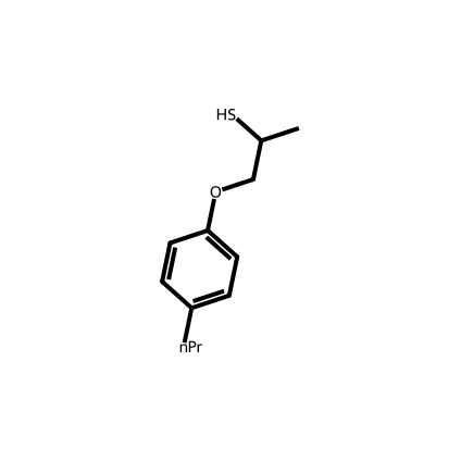 CCCc1ccc(OCC(C)S)cc1